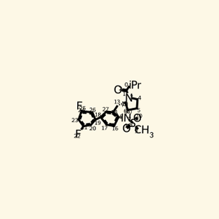 CC(C)C(=O)N1CC[C@H](NS(C)(=O)=O)[C@@H]1Cc1cccc(-c2cc(F)cc(F)c2)c1